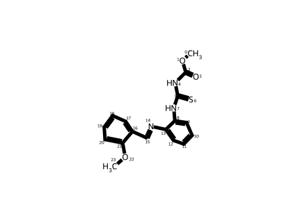 COC(=O)NC(=S)Nc1ccccc1N=Cc1ccccc1OC